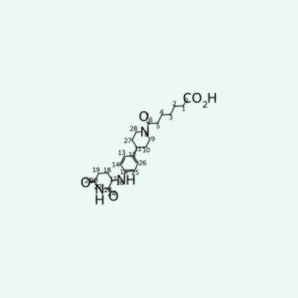 O=C(O)CCCCCC(=O)N1CCC(c2ccc(NC3CCC(=O)NC3=O)cc2)CC1